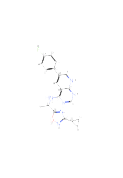 CC(Nc1ncnc2ncc(-c3ccc(F)cc3)cc12)c1nc(C2CC2)no1